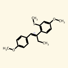 CC/C(=C\c1ccc(OC)cc1)c1ccc(OC)cc1SC